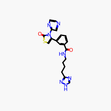 O=C(NCCCCc1nc[nH]n1)c1cccc(-c2csc(=O)n2-c2cnccn2)c1